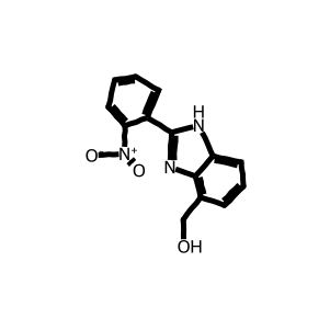 O=[N+]([O-])c1ccccc1-c1nc2c(CO)cccc2[nH]1